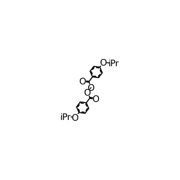 CC(C)Oc1ccc(C(=O)OOC(=O)c2ccc(OC(C)C)cc2)cc1